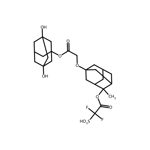 CC1(OC(=O)C(F)(F)S(=O)(=O)O)C2CC3CC1CC(OCC(=O)OC14CC5CC(O)(CC(O)(C5)C1)C4)(C3)C2